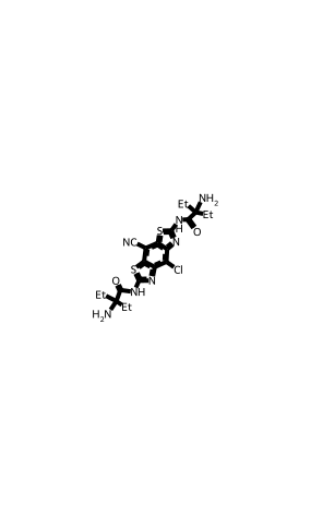 CCC(N)(CC)C(=O)Nc1nc2c(Cl)c3nc(NC(=O)C(N)(CC)CC)sc3c(C#N)c2s1